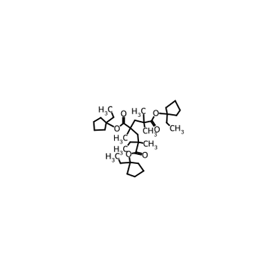 CCC1(OC(=O)C(C)(C)CC(C)(CC(C)(CC)C(=O)OC2(CC)CCCC2)C(=O)OC2(CC)CCCC2)CCCC1